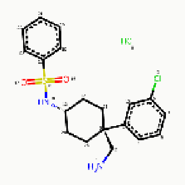 Cl.NC[C@]1(c2cccc(Cl)c2)CC[C@@H](NS(=O)(=O)c2ccccc2)CC1